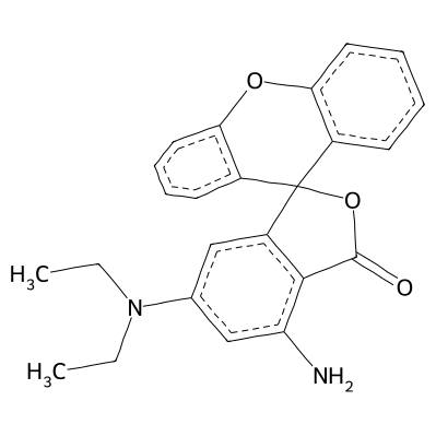 CCN(CC)c1cc(N)c2c(c1)C1(OC2=O)c2ccccc2Oc2ccccc21